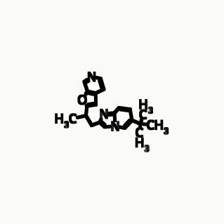 CC(Cc1cn2cc(C(C)(C)C)ccc2n1)c1cc2ccncc2o1